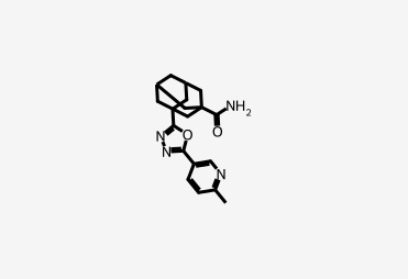 Cc1ccc(-c2nnc(C34CC5CC(CC(C(N)=O)(C5)C3)C4)o2)cn1